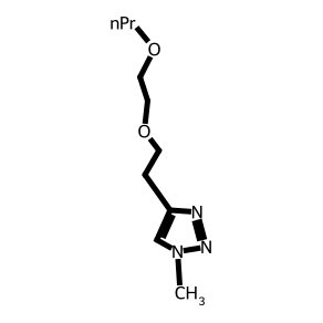 CCCOCCOCCc1cn(C)nn1